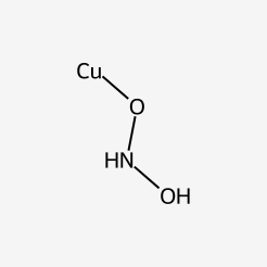 ON[O][Cu]